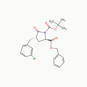 CC(C)(C)OC(=O)N1C(=O)[C@@H](Cc2cccc(Br)c2)C[C@@H]1C(=O)OCc1ccccc1